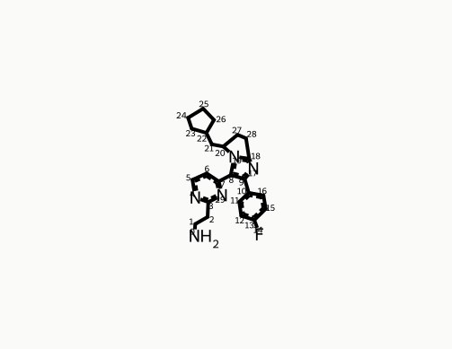 NCCc1nccc(-c2c(-c3ccc(F)cc3)nc3n2C(CC2CCCC2)CC3)n1